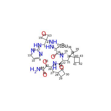 CC(C)(C)[C@H](NNC1(CNc2ncccn2)COC1)C(=O)N1C[C@]2(C[C@H]1C(=O)NC(CC1CCC1)C(=O)C(N)=O)C(C)(C)C21CCC1